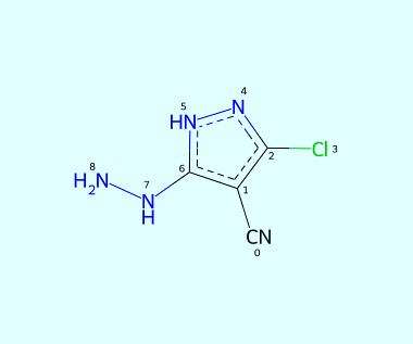 N#Cc1c(Cl)n[nH]c1NN